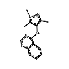 Cc1nn(C)c(C)c1Nc1ncnc2ccccc12